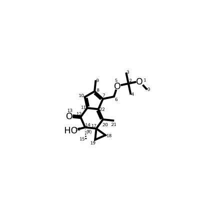 COC(C)(C)OCC1=C(C)C=C2C(=O)[C@](C)(O)C3(CC3)C(C)=C21